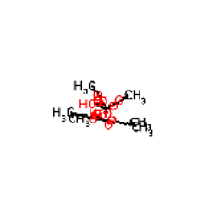 CC(C)CCCCCCCOC(=O)CCCCC(=O)OCCCCCCCC(C)C.CCCCOCCOCCC(CCCC(=O)O)(CCOCCOCCCC)C(=O)O